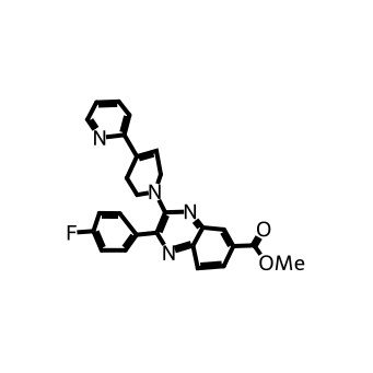 COC(=O)c1ccc2nc(-c3ccc(F)cc3)c(N3CC=C(c4ccccn4)CC3)nc2c1